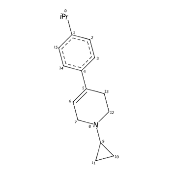 CC(C)c1ccc(C2=CCN(C3CC3)CC2)cc1